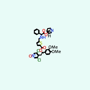 COc1ccc([C@@H](Cc2c(Cl)c[n+]([O-])cc2Cl)OC(=O)c2ccc(CNC(C(=O)O[C@H]3CN4CCC3CC4)c3ccccc3)s2)cc1OC